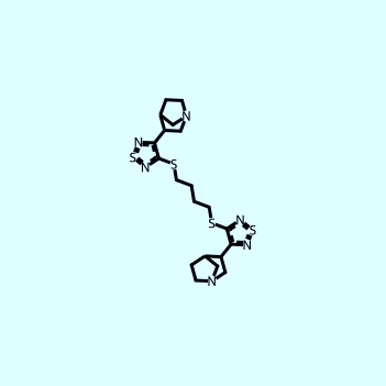 C(CCSc1nsnc1C1CN2CCC1C2)CSc1nsnc1C1CN2CCC1C2